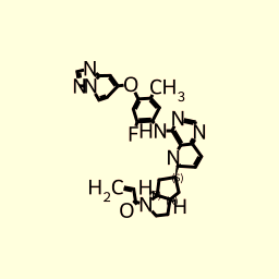 C=CC(=O)N1CC[C@H]2C[C@H](c3ccc4ncnc(Nc5cc(C)c(Oc6ccn7ncnc7c6)cc5F)c4n3)C[C@H]21